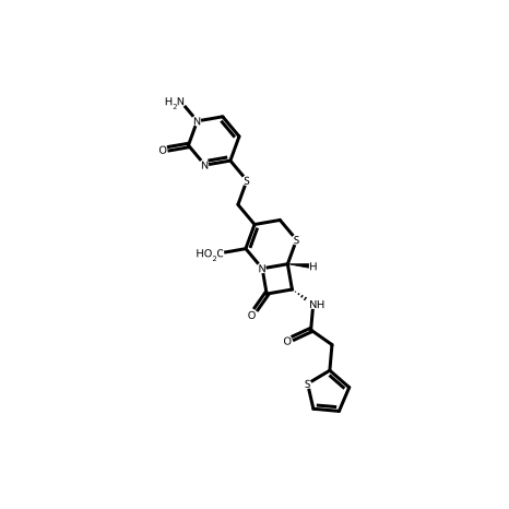 Nn1ccc(SCC2=C(C(=O)O)N3C(=O)[C@@H](NC(=O)Cc4cccs4)[C@H]3SC2)nc1=O